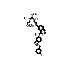 COCCN(C)/C(=N/C#N)NC/C=C/c1ccc2ncnc(Nc3ccc4c(cnn4Cc4cccc(F)c4)c3)c2c1